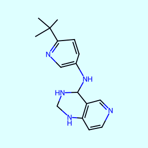 CC(C)(C)c1ccc(NC2NCNc3ccncc32)cn1